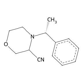 C[C@H](c1ccccc1)N1CCOCC1C#N